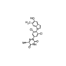 Cc1cc2c(ccn2-c2c(Cl)cc(-n3nc(C#N)c(=O)[nH]c3=O)cc2Cl)cc1O